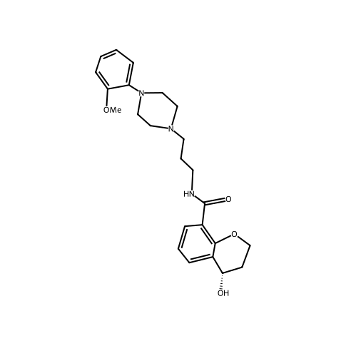 COc1ccccc1N1CCN(CCCNC(=O)c2cccc3c2OCC[C@@H]3O)CC1